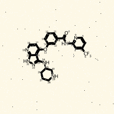 O=C(Nc1cc(C(F)(F)F)ccn1)c1cccc(Oc2ccnc3[nH]nc(N[C@@H]4CCCNC4)c23)c1